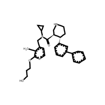 Cc1c(CN(C(=O)[C@H]2CNCC[C@@H]2c2cccc(-c3ccccc3)c2)C2CC2)ccnc1OCCCO